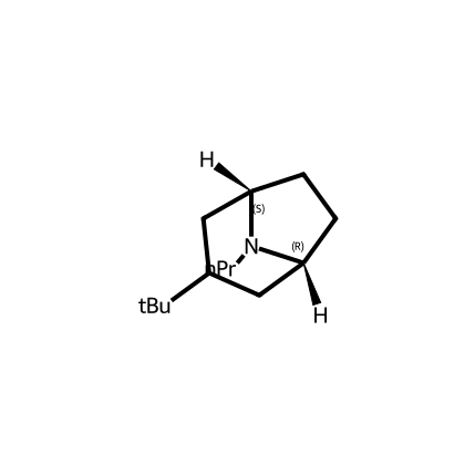 CCCN1[C@@H]2CC[C@H]1CC(C(C)(C)C)C2